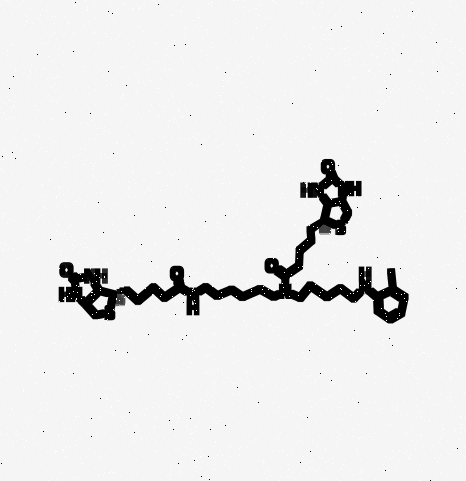 Cc1ccccc1NCCCCCN(CCCCCCNC(=O)CCCC[C@@H]1SCC2NC(=O)NC21)C(=O)CCCC[C@@H]1SCC2NC(=O)NC21